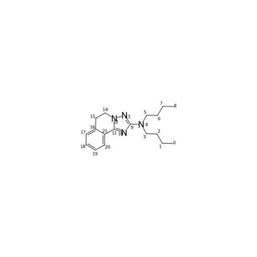 CCCCN(CCCC)c1nc2n(n1)CCc1ccccc1-2